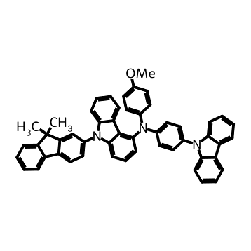 COc1ccc(N(c2ccc(-n3c4ccccc4c4ccccc43)cc2)c2cccc3c2c2ccccc2n3-c2ccc3c(c2)C(C)(C)c2ccccc2-3)cc1